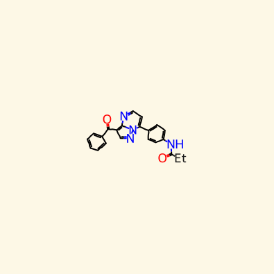 CCC(=O)Nc1ccc(-c2ccnc3c(C(=O)c4ccccc4)cnn23)cc1